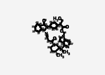 CCC(C(=O)OCn1ccc2c(N(C)C3CN(C(=O)CC#N)CC[C@H]3C)ncnc21)c1ccc(N2Cc3ccccc3C2=O)cc1